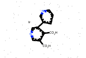 O=C(O)c1cncc(-c2cccnc2)c1C(=O)O.[Ir]